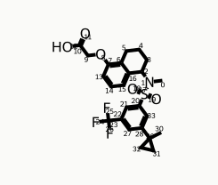 CN(C1CCCc2c(OCC(=O)O)cccc21)S(=O)(=O)c1cc(C(F)(F)F)cc(C2(C)CC2)c1